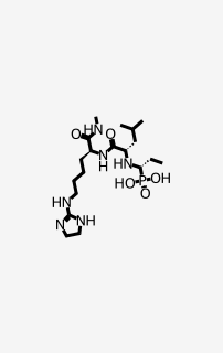 CC[C@@H](N[C@@H](CC(C)C)C(=O)N[C@@H](CCCCNC1=NCCN1)C(=O)NC)P(=O)(O)O